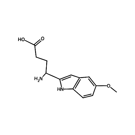 COc1ccc2[nH]c(C(N)CCC(=O)O)cc2c1